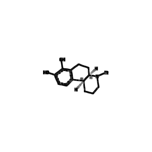 CCN1CCC[C@H]2c3ccc(O)c(O)c3CC[C@H]21